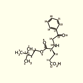 C[Si](C)(C)CCOC(=O)[C@H](CCC(=O)O)NCC(=O)c1ccccc1